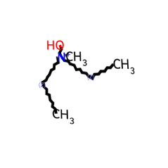 CCCCCCCC/C=C\CCCCCCCC[N+](CC)(CCO)CCCCCCCC/C=C\CCCCCCCC